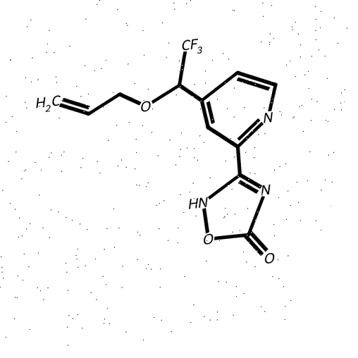 C=CCOC(c1ccnc(-c2nc(=O)o[nH]2)c1)C(F)(F)F